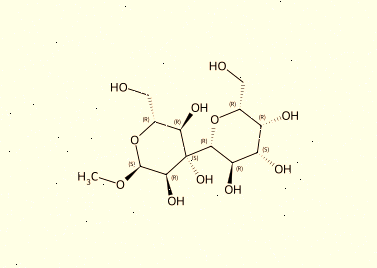 CO[C@H]1O[C@H](CO)[C@@H](O)[C@@](O)([C@@H]2O[C@H](CO)[C@H](O)[C@H](O)[C@H]2O)[C@H]1O